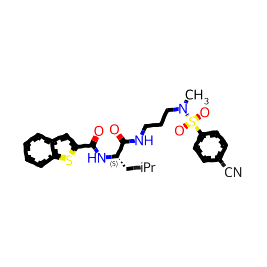 CC(C)C[C@H](NC(=O)c1cc2ccccc2s1)C(=O)NCCCN(C)S(=O)(=O)c1ccc(C#N)cc1